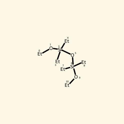 CCO[Si](CC)(CC)O[Si](CC)(CC)OCC